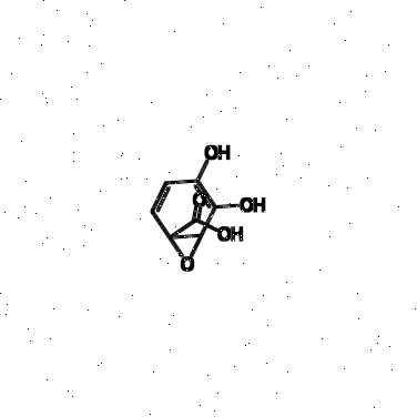 O=C(O)C12C=CC(O)=C(O)C1O2